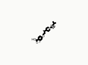 CC(C)c1nc(N2CCC([C@H](C)CCOc3ccc(C(=O)O)c(F)c3)CC2)no1